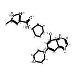 Cc1cc(C(=O)N[C@H]2CC[C@@H](Oc3cc(N4CCOCC4)cc4nccnc34)CC2)n[nH]1